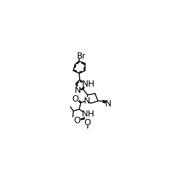 COC(=O)NC(C(=O)N1CC(C#N)CC1c1ncc(-c2ccc(Br)cc2)[nH]1)C(C)C